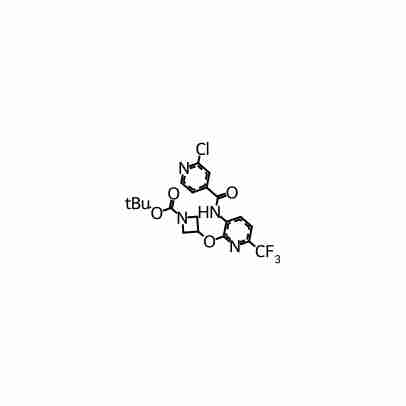 CC(C)(C)OC(=O)N1CC(Oc2nc(C(F)(F)F)ccc2NC(=O)c2ccnc(Cl)c2)C1